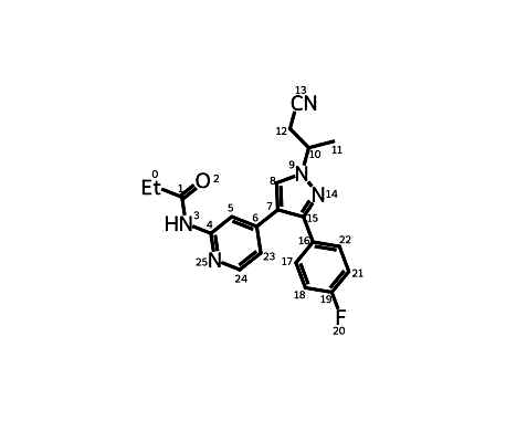 CCC(=O)Nc1cc(-c2cn(C(C)CC#N)nc2-c2ccc(F)cc2)ccn1